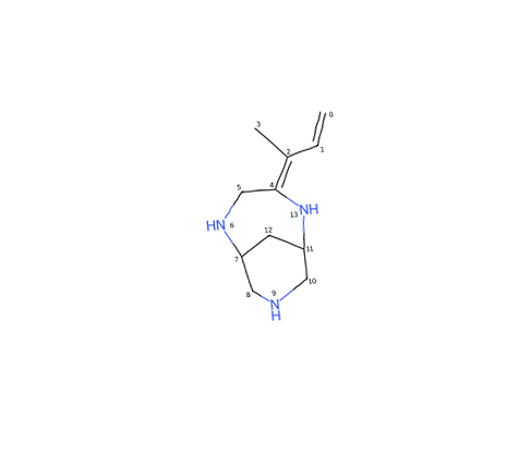 C=C/C(C)=C1/CNC2CNCC(C2)N1